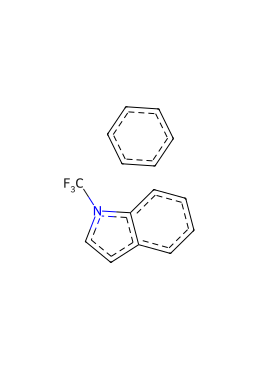 FC(F)(F)n1ccc2ccccc21.c1ccccc1